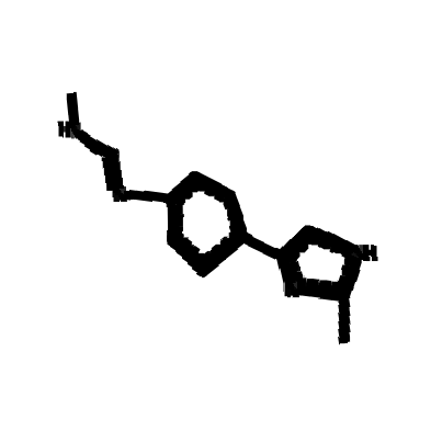 CN/C=N/c1ccc(-c2c[nH]c(C)n2)cc1